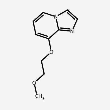 COCCOc1cccn2ccnc12